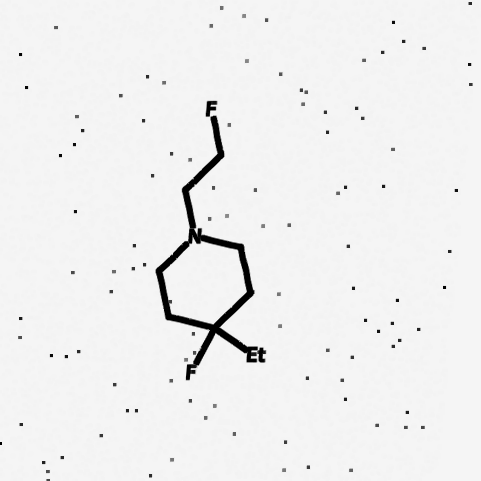 CCC1(F)CCN(CCF)CC1